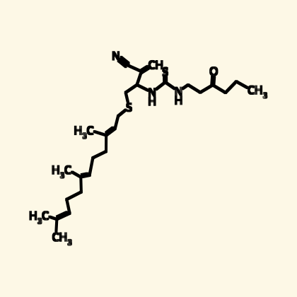 C=C(C#N)C(CSC/C=C(\C)CC/C=C(\C)CCC=C(C)C)NC(=S)NCCC(=O)CCC